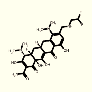 CN(C)c1c(CNCC(F)F)cc(O)c2c1C[C@H]1C[C@H]3[C@H](N(C)C)C(O)=C(C(N)=O)C(=O)[C@@]3(O)C(O)=C1C2=O